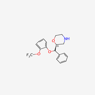 FC(F)(F)Oc1ccccc1OC(c1ccccc1)[C@@H]1CNCCO1